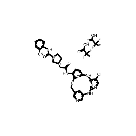 N#Cc1ccccc1NC(=O)N1CC[C@@H](CC(=O)Nc2ccc3cc2CCc2cncc(c2)Nc2ncc(Cl)c(n2)N3)C1.O=C(O)C(F)(F)F.O=C(O)C(F)(F)F